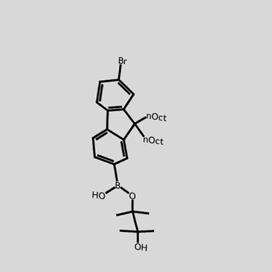 CCCCCCCCC1(CCCCCCCC)c2cc(Br)ccc2-c2ccc(B(O)OC(C)(C)C(C)(C)O)cc21